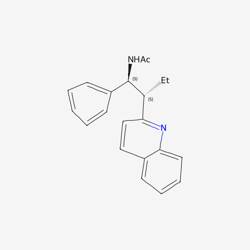 CC[C@H](c1ccc2ccccc2n1)[C@H](NC(C)=O)c1ccccc1